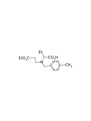 CCOC(=O)CCN(Cc1ccc(C)cc1)C(CC)C(=O)O